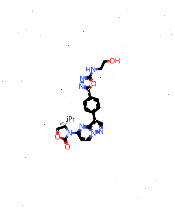 CC(C)[C@H]1COC(=O)N1c1ccn2ncc(-c3ccc(-c4nnc(NCCO)o4)cc3)c2n1